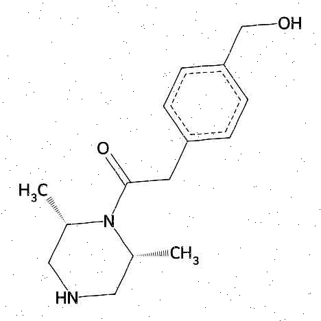 C[C@@H]1CNC[C@H](C)N1C(=O)Cc1ccc(CO)cc1